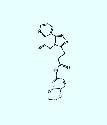 C=CCn1c(CCC(=O)Nc2ccc3c(c2)OCCO3)nnc1-c1cccnc1